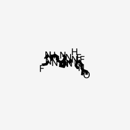 Nc1nc(N[C@@H]2CCN(C3COC3)CC2(F)F)nn2ccc(-c3ccc4ncn(CCF)c4n3)c12